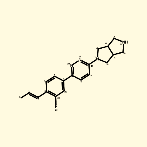 C/C=C/c1ccc(-c2ccc(N3CC4CNCC4C3)nn2)cc1F